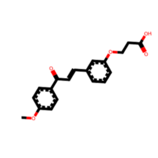 COc1ccc(C(=O)/C=C/c2cccc(OCCC(=O)O)c2)cc1